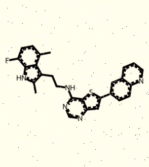 Cc1[nH]c2c(F)ccc(C)c2c1CCNc1ncnc2cc(-c3ccc4ncccc4c3)sc12